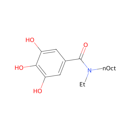 CCCCCCCCN(CC)C(=O)c1cc(O)c(O)c(O)c1